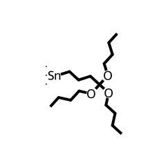 CCCCOC(CC[CH2][Sn])(OCCCC)OCCCC